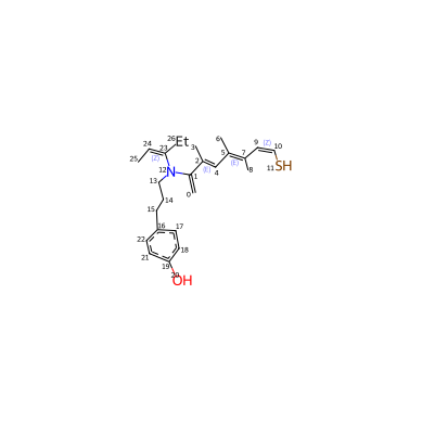 C=C(/C(C)=C/C(C)=C(C)/C=C\S)N(CCCc1ccc(O)cc1)/C(=C\C)CC